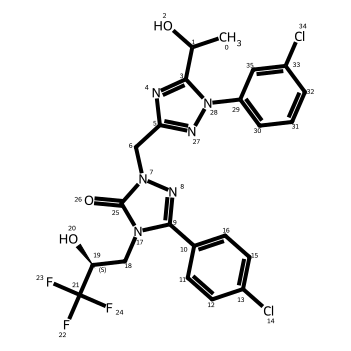 CC(O)c1nc(Cn2nc(-c3ccc(Cl)cc3)n(C[C@H](O)C(F)(F)F)c2=O)nn1-c1cccc(Cl)c1